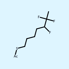 CC(=O)SCCCCC(F)C(C)(F)F